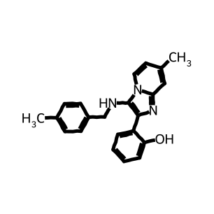 Cc1ccc(CNc2c(-c3ccccc3O)nc3cc(C)ccn23)cc1